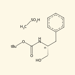 CC(C)(C)OC(=O)N[C@@H](CO)Cc1ccccc1.CS(=O)(=O)O